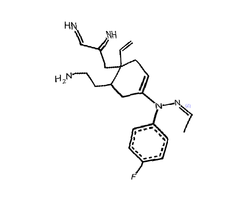 C=CC1(CC(=N)C=N)CC=C(N(/N=C\C)c2ccc(F)cc2)CC1CCN